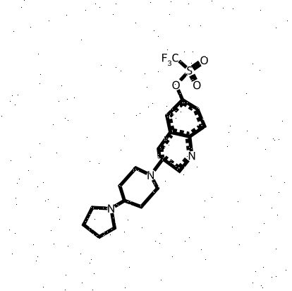 O=S(=O)(Oc1ccc2ncc(N3CCC(N4CCCC4)CC3)cc2c1)C(F)(F)F